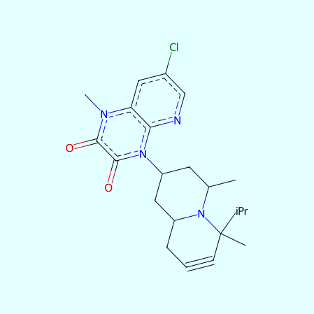 CC1CC(n2c(=O)c(=O)n(C)c3cc(Cl)cnc32)CC2CC#CC(C)(C(C)C)N12